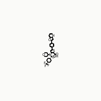 O=C(O)c1sc(-c2ccc(-c3cc4ncccc4o3)cc2)cc1N(C(=O)[C@H]1CC[C@H](C(F)(F)F)CC1)C1CCOCC1